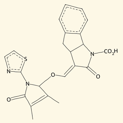 CC1=C(C)C(O/C=C2/C(=O)N(C(=O)O)C3c4ccccc4CC23)N(c2nccs2)C1=O